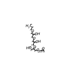 C=CCOCC(O)COCC(O)COC(CO)COCC1CO1